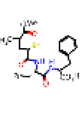 COC(=O)C(C)CC(S)C(=O)N[C@@H](CC(C)C)C(=O)N[C@@H](Cc1ccccc1)C(=O)O